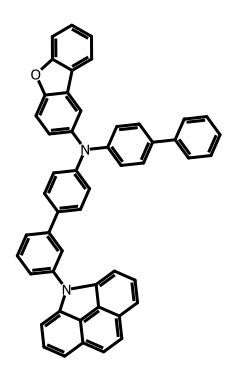 c1ccc(-c2ccc(N(c3ccc(-c4cccc(-n5c6cccc7ccc8cccc5c8c76)c4)cc3)c3ccc4oc5ccccc5c4c3)cc2)cc1